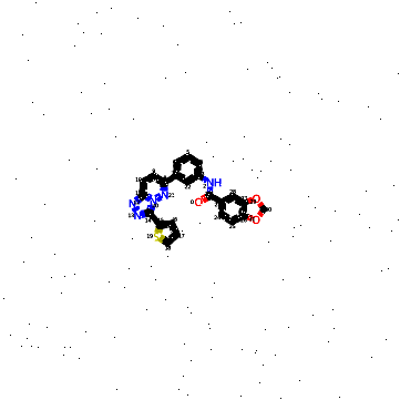 O=C(Nc1cccc(-c2ccc3nnc(-c4cccs4)n3n2)c1)c1ccc2c(c1)OCO2